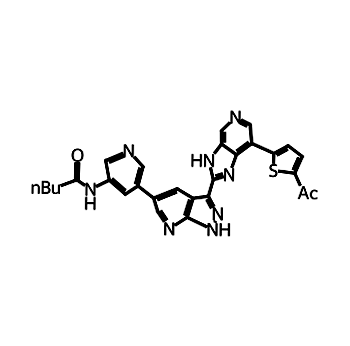 CCCCC(=O)Nc1cncc(-c2cnc3[nH]nc(-c4nc5c(-c6ccc(C(C)=O)s6)cncc5[nH]4)c3c2)c1